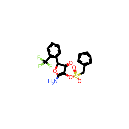 NC1=C(OS(=O)(=O)Cc2ccccc2)C(=O)C(c2ccccc2C(F)(F)F)O1